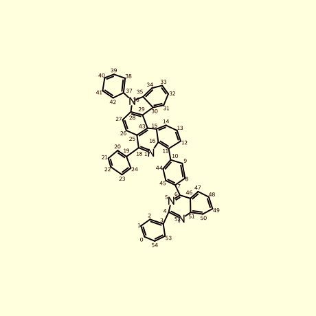 c1ccc(-c2nc(-c3ccc(-c4cccc5c4nc(-c4ccccc4)c4ccc6c(c7ccccc7n6-c6ccccc6)c45)cc3)c3ccccc3n2)cc1